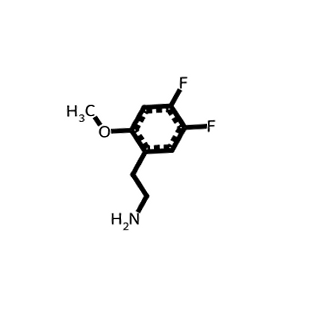 COc1cc(F)c(F)cc1CCN